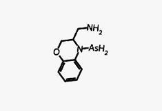 NCC1COc2ccccc2N1[AsH2]